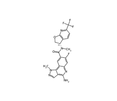 CN(C(=O)c1cc2c(cc1F)nc(N)c1cnn(C)c12)[C@@H]1COc2nc(C(F)(F)F)ccc21